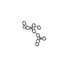 c1ccc(-c2cccc3c2c2cc(-c4ccc5c(c4)c4cc6ccccc6cc4n5-c4ccccc4)ccc2n3-c2ccc3oc4ccccc4c3c2)cc1